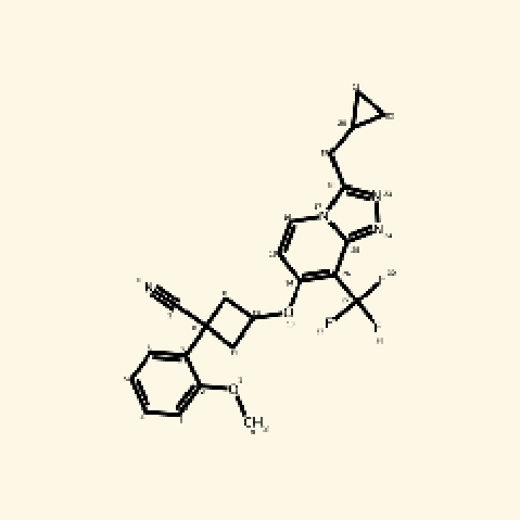 COc1ccccc1C1(C#N)CC(Oc2ccn3c(CC4CC4)nnc3c2C(F)(F)F)C1